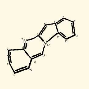 c1ccc2nc3cc4ccccc4n3cc2c1